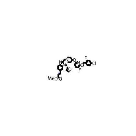 COC(=O)/C=C/c1ccc2nc(CN3CCC(Oc4ccc(F)c(OCc5ccc(Cl)cc5F)n4)CC3)n(C[C@@H]3CCO3)c2c1